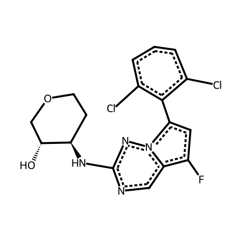 O[C@@H]1COCC[C@H]1Nc1ncc2c(F)cc(-c3c(Cl)cccc3Cl)n2n1